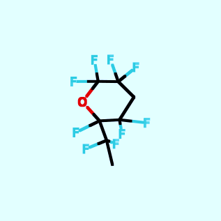 CC(F)(F)C1(F)OC(F)(F)C(F)(F)CC1(F)F